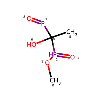 CO[PH](=O)C(C)(O)P=O